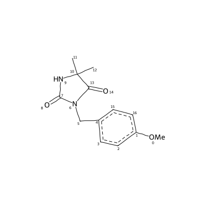 COc1ccc(CN2C(=O)NC(C)(C)C2=O)cc1